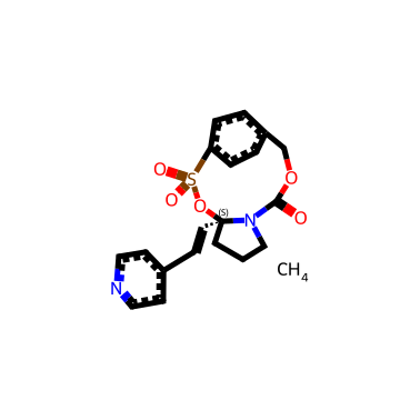 C.O=C1OCc2ccc(cc2)S(=O)(=O)O[C@]2(C=Cc3ccncc3)CCCN12